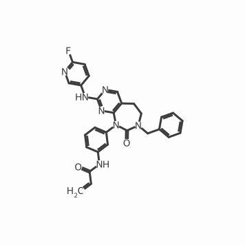 C=CC(=O)Nc1cccc(N2C(=O)N(Cc3ccccc3)CCc3cnc(Nc4ccc(F)nc4)nc32)c1